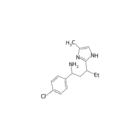 CCC(CC(N)c1ccc(Cl)cc1)c1nc(C)c[nH]1